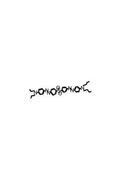 CCCCN(CCCC)c1ccc(N=Nc2ccc(S(=O)(=O)c3ccc(N=Nc4ccc(N(CCC)CCC)cc4)cc3)cc2)cc1